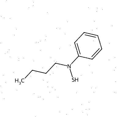 CCCCN(S)c1ccccc1